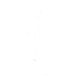 CCc1nc2ccc(-c3cnc(C4CCNCC4)nc3)cn2c1N(C)c1nc(-c2ccc(F)cc2)c(C#N)s1